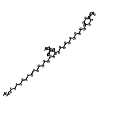 CCCCCC=CCC=CCCCCCCCC(CCCCCCCCCCCC1CCN(C)CC1)OC(=O)O